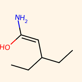 CCC(C=C(N)O)CC